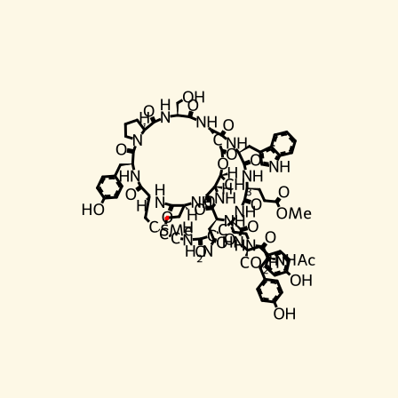 COC(=O)CC[C@@H]1NC(=O)[C@H](Cc2c[nH]c3ccccc23)NC(=O)C2CC(=O)O[C@H](C)[C@H](NC(=O)[C@H](CC(N)=O)NC(=O)CNC(=O)[C@H](Cc3ccc(O)cc3)NC(C)=O)C(=O)N[C@@H](CCSC)C(=O)N[C@@H](CCCCNC(=O)CC[C@H](C(=O)N[C@@H](Cc3ccc(O)cc3)C(=O)O)NC1=O)C(=O)N[C@@H](Cc1ccc(O)cc1)C(=O)N1CCC[C@H]1C(=O)N[C@@H](CO)C(=O)N2